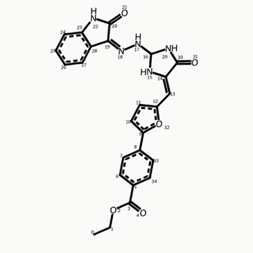 CCOC(=O)c1ccc(-c2ccc(/C=C3\NC(N/N=C4\C(=O)Nc5ccccc54)NC3=O)o2)cc1